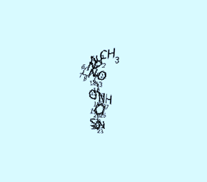 Cc1cc2n(n1)CCCN2C(=O)CCC(=O)Nc1ccc(-c2nccs2)cc1